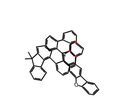 CC1(C)c2ccccc2-c2c(-c3ccccc3N(c3ccccc3-c3ccc4oc5ccccc5c4c3)c3ccccc3-c3ccccc3-c3ccccc3)cccc21